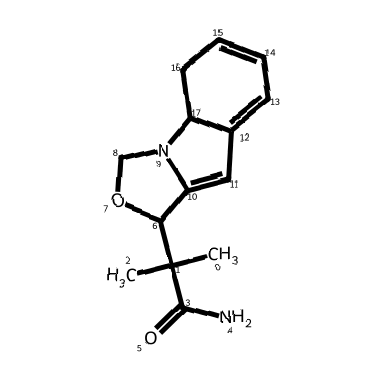 CC(C)(C(N)=O)C1OCN2C1=CC1=CC=CCC12